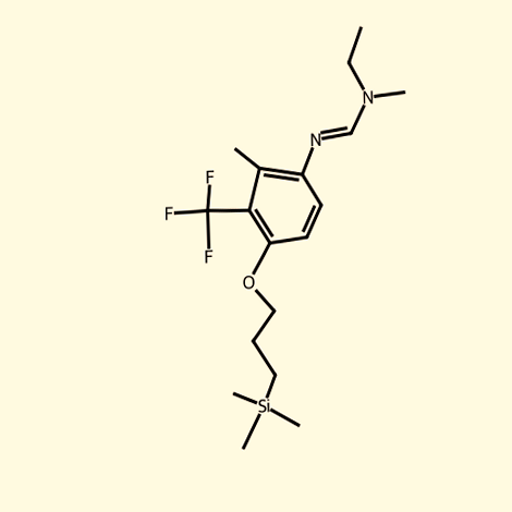 CCN(C)C=Nc1ccc(OCCC[Si](C)(C)C)c(C(F)(F)F)c1C